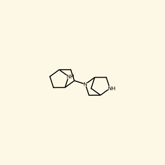 C1CC2NC1CC2N1CC2CC1CN2